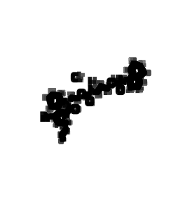 CCC[n+]1cc(Br)cc(C(=O)N(CCOC(=O)NCCCOC(=O)Nc2cccc3ccccc23)c2ccccc2)c1.[Cl-]